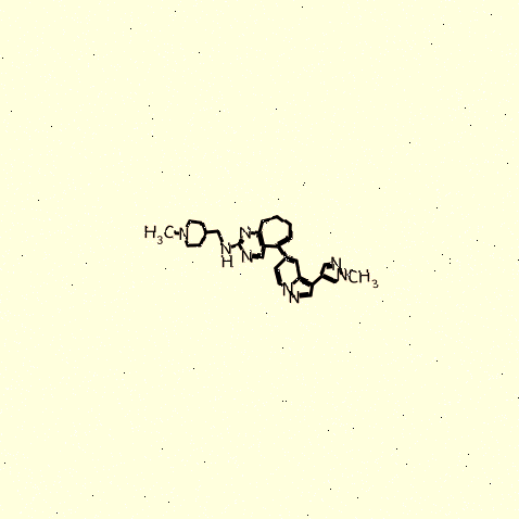 CN1CCC(CNc2ncc3c(n2)CCCC=C3c2ccn3ncc(-c4cnn(C)c4)c3c2)CC1